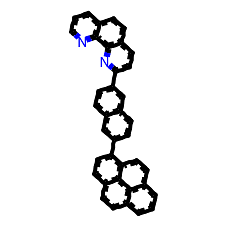 c1cnc2c(c1)ccc1ccc(-c3ccc4cc(-c5ccc6ccc7cccc8ccc5c6c78)ccc4c3)nc12